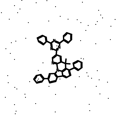 CC1(C)c2cc(-c3nc(-c4ccccc4)nc(-c4ccccc4)n3)cnc2-n2c3cc(-c4ccccc4)ccc3c3ccc(-c4ccccc4)c1c32